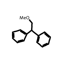 COCC(c1ccccc1)c1ccccc1